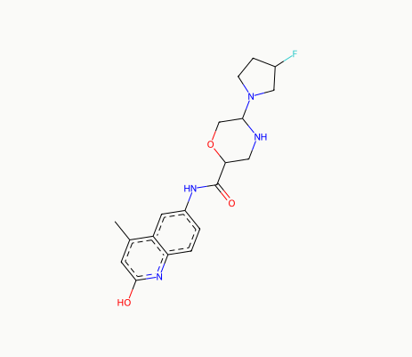 Cc1cc(O)nc2ccc(NC(=O)C3CNC(N4CCC(F)C4)CO3)cc12